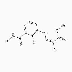 CCNC(=O)c1cccc(NC=C(C(C)=O)C(=O)OC(C)C)c1Cl